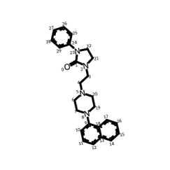 O=C1N(CCN2CCN(c3cccc4ccccc34)CC2)CCN1c1ccccc1